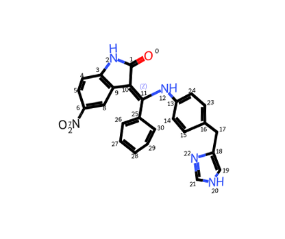 O=C1Nc2ccc([N+](=O)[O-])cc2/C1=C(/Nc1ccc(Cc2c[nH]cn2)cc1)c1ccccc1